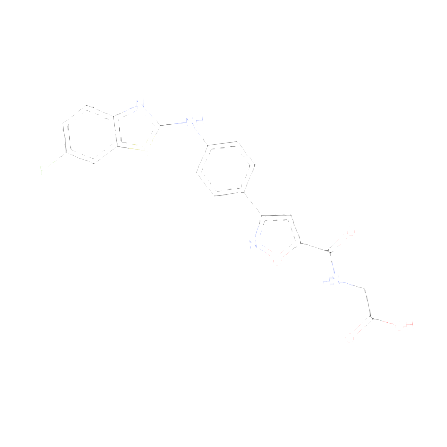 O=C(O)CNC(=O)c1cc(-c2ccc(Nc3nc4ccc(F)cc4s3)cc2)no1